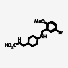 COc1ccc(Br)cc1CNC1CCC(CNC(=O)O)CC1